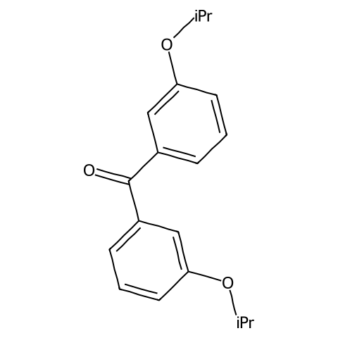 CC(C)Oc1cccc(C(=O)c2cccc(OC(C)C)c2)c1